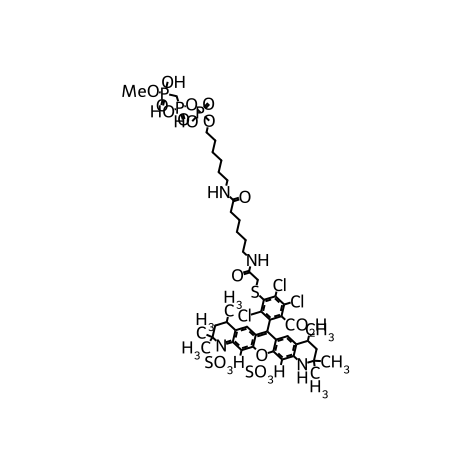 COP(=O)(O)CP(=O)(O)OP(=O)(O)OCCCCCCNC(=O)CCCCCNC(=O)CSc1c(Cl)c(Cl)c(C(=O)O)c(C2=c3cc4c(c(S(=O)(=O)O)c3Oc3c2cc2c(c3S(=O)(=O)O)NC(C)(C)CC2C)=NC(C)(C)CC4C)c1Cl